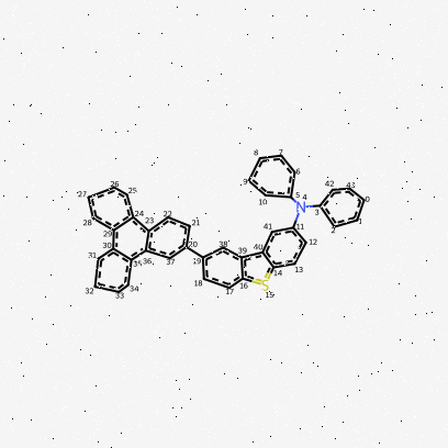 c1ccc(N(c2ccccc2)c2ccc3sc4ccc(-c5ccc6c7ccccc7c7ccccc7c6c5)cc4c3c2)cc1